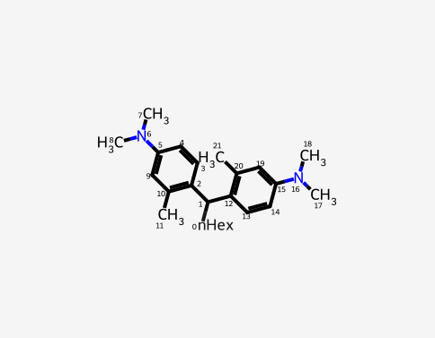 CCCCCCC(c1ccc(N(C)C)cc1C)c1ccc(N(C)C)cc1C